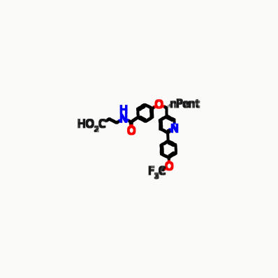 CCCCC[C@@H](Oc1ccc(C(=O)NCCC(=O)O)cc1)c1ccc(-c2ccc(OC(F)(F)F)cc2)nc1